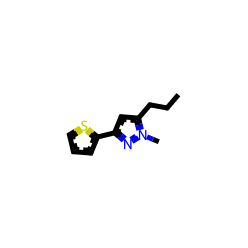 CCCc1cc(-c2cccs2)nn1C